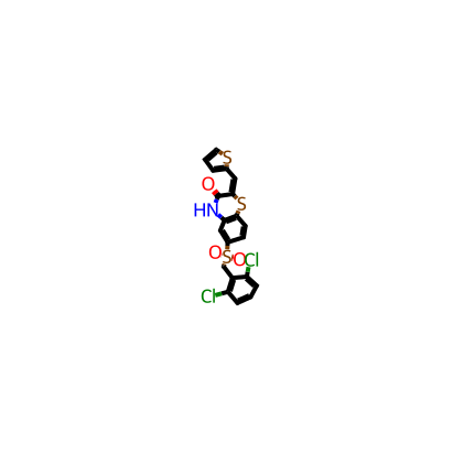 O=C1Nc2cc(S(=O)(=O)Cc3c(Cl)cccc3Cl)ccc2S/C1=C/c1cccs1